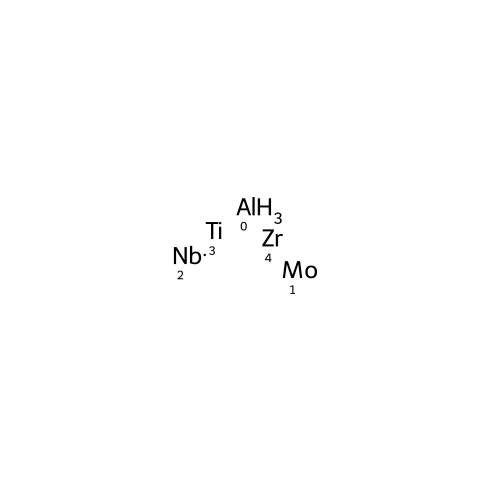 [AlH3].[Mo].[Nb].[Ti].[Zr]